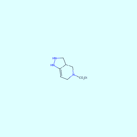 CCOC(=O)N1CC=C2NNCC2C1